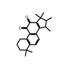 CC1C2=C(C(=O)C(=O)c3c2ccc2c3CCCC2(C)C)C(C)(C)C1C